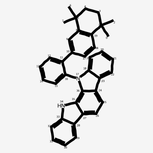 CC1(C)CCC(C)(C)c2cc(-c3ccccc3-n3c4ccccc4c4ccc5c6ccccc6[nH]c5c43)ccc21